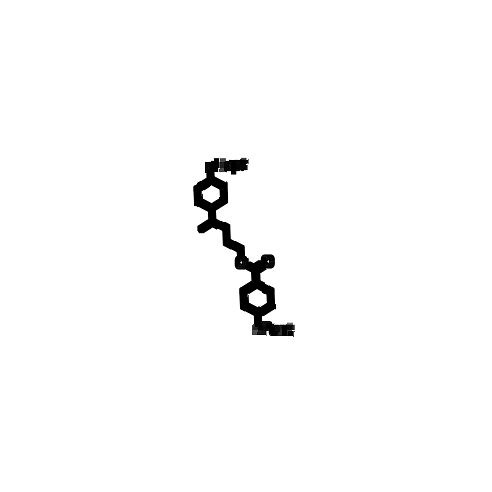 CCCCCCCC1CCC(C(C)CCCOC(=O)C2CCC(CCCCC)CC2)CC1